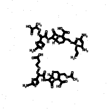 C=CCN1C(SCC2=C(C(=O)O)N3C(=O)C(NC(=O)/C(=N\OC(C)C(=O)O)c4csc(N)n4)[C@@H]3SC2)=NC(N)=CC1N.CC(=O)OCC1=C(C(=O)O)N2C(=O)C(NC(=O)/C(=N\OCCC(=O)O)c3csc(N)n3)[C@@H]2SC1